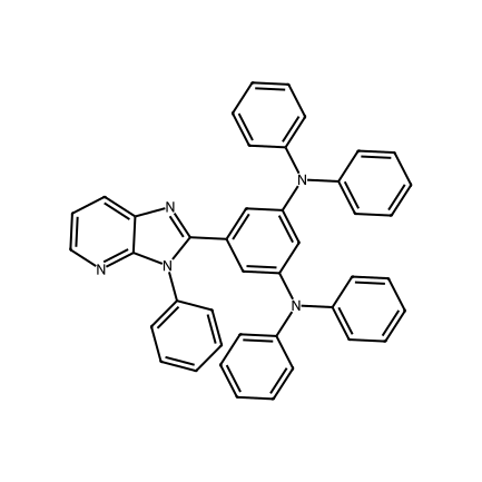 c1ccc(N(c2ccccc2)c2cc(-c3nc4cccnc4n3-c3ccccc3)cc(N(c3ccccc3)c3ccccc3)c2)cc1